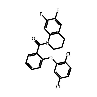 O=C(c1ccccc1Oc1cc(Cl)ccc1Cl)N1CCCc2cc(F)c(F)cc21